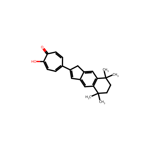 CC1(C)CCC(C)(C)c2cc3c(cc21)C=C(c1ccc(O)c(=O)cc1)C3